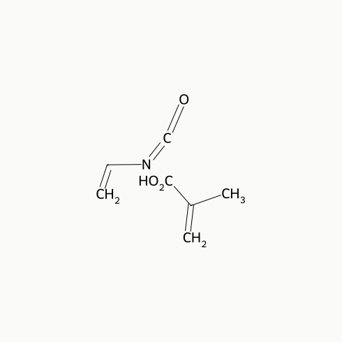 C=C(C)C(=O)O.C=CN=C=O